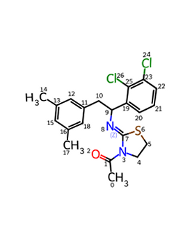 CC(=O)N1CCS/C1=N\C(Cc1cc(C)cc(C)c1)c1cccc(Cl)c1Cl